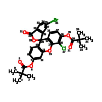 CC(C)(C)C(=O)Oc1ccc2c(c1)Oc1c(ccc(OC(=O)C(C)(C)C)c1Cl)C21OC(=O)c2ccc(Br)cc21